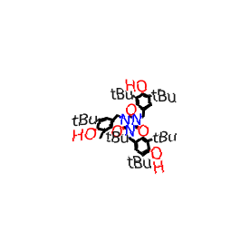 CC(C)(C)C1=CC(Cn2c(=O)n(Cc3cc(C(C)(C)C)c(O)c(C(C)(C)C)c3)c(=O)n(Cc3cc(C(C)(C)C)c(O)c(C(C)(C)C)c3)c2=O)=CC(C)(C(C)(C)C)C1O